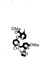 COC(=O)c1c(I)ccnc1O[C@@H]1CC[C@@H](C)N(Cc2ccc(OC)nc2-n2nccn2)C1